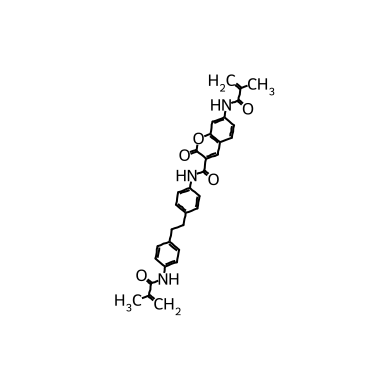 C=C(C)C(=O)Nc1ccc(CCc2ccc(NC(=O)c3cc4ccc(NC(=O)C(=C)C)cc4oc3=O)cc2)cc1